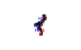 CO[C@H](C)COC(=O)c1cc2cc(NC(=O)[C@@H]3[C@H](C4CCCCC4)CCN3C(=O)C3CCC([C@@H](CF)NC(=O)OC(C)(C)C)CC3)ccc2[nH]1